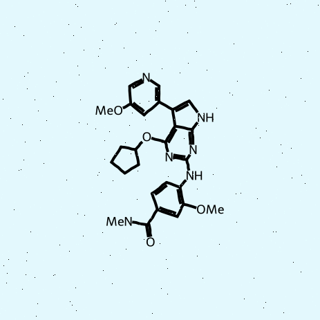 CNC(=O)c1ccc(Nc2nc(OC3CCCC3)c3c(-c4cncc(OC)c4)c[nH]c3n2)c(OC)c1